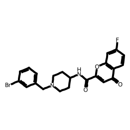 O=C(NC1CCN(Cc2cccc(Br)c2)CC1)c1cc(=O)c2ccc(F)cc2o1